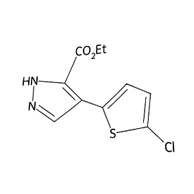 CCOC(=O)c1[nH]ncc1-c1ccc(Cl)s1